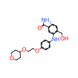 NC(=O)c1ccc(CO)c(Nc2ccc(OCCOC3CCOCC3)cc2)c1